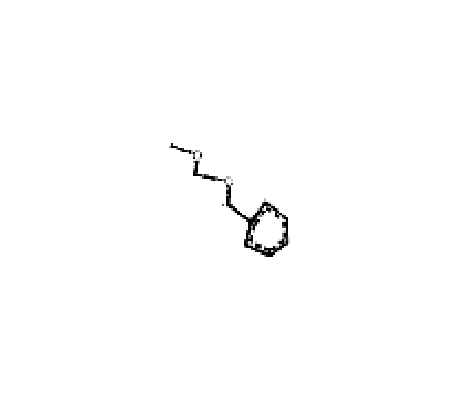 COCO[CH]c1ccccc1